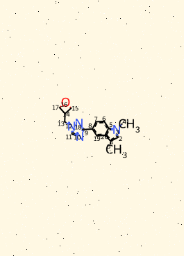 Cc1cn(C)c2ccc(-c3ncn(CC4COC4)n3)cc12